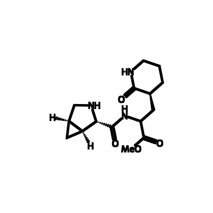 COC(=O)C(C[C@@H]1CCCNC1=O)NC(=O)[C@H]1NC[C@@H]2C[C@@H]21